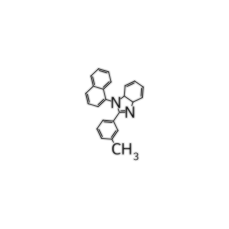 Cc1cccc(C2=NC3C=CC=CC3N2c2cccc3ccccc23)c1